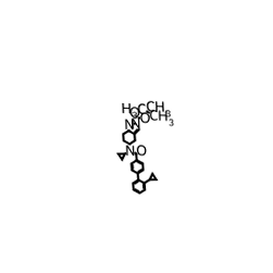 CC(C)(C)OC(=O)n1cc2c(n1)CCC(N(C(=O)c1ccc(-c3ccccc3C3CC3)cc1)C1CC1)C2